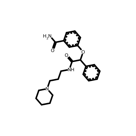 NC(=O)c1cccc(OC(C(=O)NCCCN2CCCCC2)c2ccccc2)c1